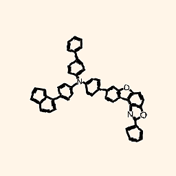 c1ccc(-c2ccc(N(c3ccc(-c4ccc5c(c4)oc4ccc6oc(-c7ccccc7)nc6c45)cc3)c3ccc(-c4cccc5ccccc45)cc3)cc2)cc1